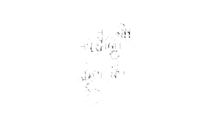 CC(C)[C@H](NC(=O)CCCCCN1C(=O)CC(SC2CCCCCCCC2)C1=O)C(=O)N[C@@H](CCCNC(N)=O)C(=O)Nc1ccc(COC(N)=O)cc1